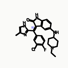 CCN1CCC(Nc2ccc3c(c2)/C(=C(\c2ccc(F)c(Cl)c2)c2nc(C)c[nH]2)C(=O)N3)CC1